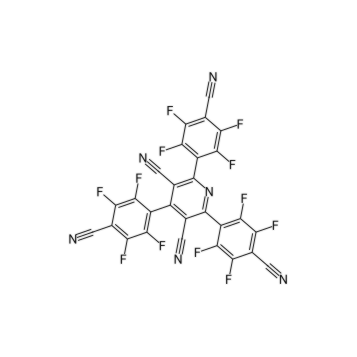 N#Cc1c(F)c(F)c(-c2nc(-c3c(F)c(F)c(C#N)c(F)c3F)c(C#N)c(-c3c(F)c(F)c(C#N)c(F)c3F)c2C#N)c(F)c1F